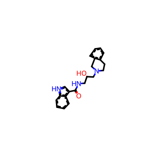 O=C(NC[C@H](O)CN1CCc2ccccc2C1)c1c[nH]c2ccccc12